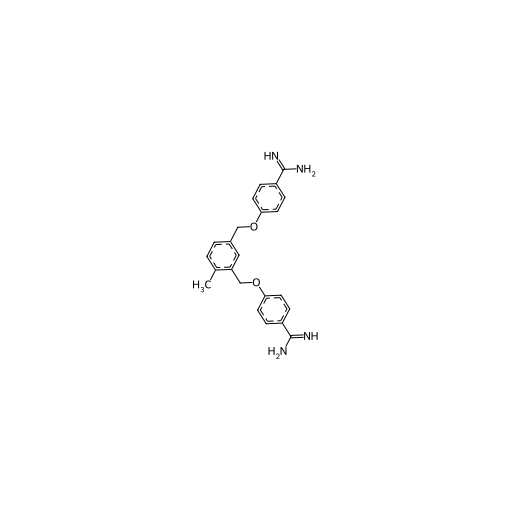 Cc1ccc(COc2ccc(C(=N)N)cc2)cc1COc1ccc(C(=N)N)cc1